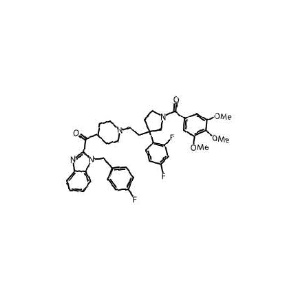 COc1cc(C(=O)N2CCC(CCN3CCC(C(=O)c4nc5ccccc5n4Cc4ccc(F)cc4)CC3)(c3ccc(F)cc3F)C2)cc(OC)c1OC